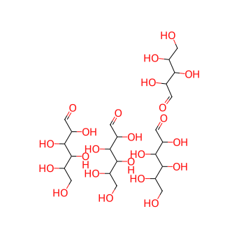 O=CC(O)C(O)C(O)C(O)CO.O=CC(O)C(O)C(O)C(O)CO.O=CC(O)C(O)C(O)C(O)CO.O=CC(O)C(O)C(O)CO